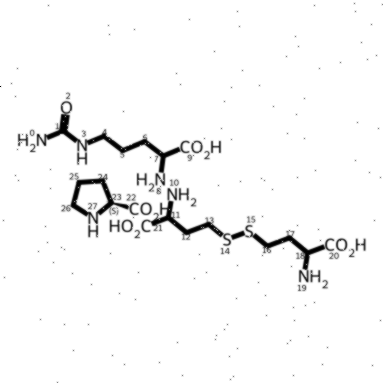 NC(=O)NCCCC(N)C(=O)O.NC(CCSSCCC(N)C(=O)O)C(=O)O.O=C(O)[C@@H]1CCCN1